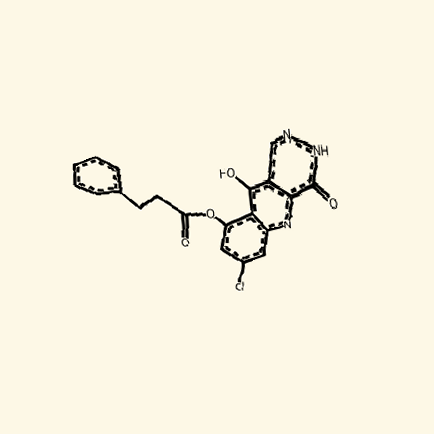 O=C(CCc1ccccc1)Oc1cc(Cl)cc2nc3c(=O)[nH]ncc3c(O)c12